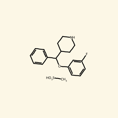 CS(=O)(=O)O.Fc1cccc(OC(c2ccccc2)C2CCNCC2)c1